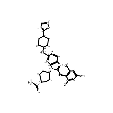 N#Cc1cc(Cl)c(Nc2nc3cnc(NC4CCC(c5ncno5)CC4)nc3n2[C@H]2CC[C@@H](C(N)=O)CC2)c(Cl)c1